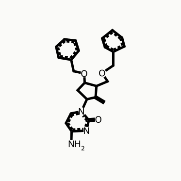 C=C1C(COCc2ccccc2)C(OCc2ccccc2)CC1n1ccc(N)nc1=O